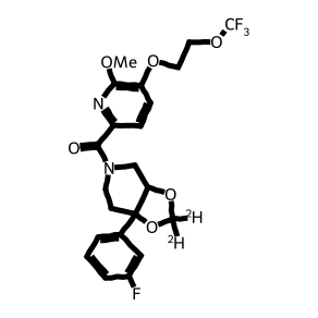 [2H]C1([2H])OC2CN(C(=O)c3ccc(OCCOC(F)(F)F)c(OC)n3)CCC2(c2cccc(F)c2)O1